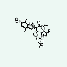 CCOC(=O)C(C(=O)[C@@H]1C[C@@H](F)CN1C(=O)OC(C)(C)C)n1cc2c(C)cc(Br)c(C)c2n1